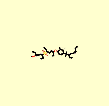 C=C/C=C\C=C(/C=C)C(C)(C)C1=CC=C(O/C(C=C)=C/C=C(\C=C)S(=O)(=O)/C(C=C)=C/C=C(\C=C)OC)C(C)[C@@H]1C